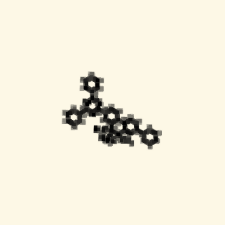 CC1(C)c2cc(-c3ccccc3)ccc2-c2ccc(-c3nc(-c4ccccc4)nc(-c4ccccc4)n3)cc2C1(C)C